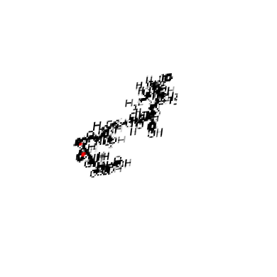 CCCC(=O)OCN(C(=O)[C@@H](NC[C@H]1CCCCN1C)C(C)CC)[C@H](C[C@@H](O)c1nc(C(=O)N[C@@H](Cc2ccc(O)cc2)C[C@H](C)C(=O)NNC(=O)OCCSSC[C@H](C)NC(=O)[C@H](CC(=O)O)CC(=O)[C@@H](N)CNC(=O)[C@@H](CC(=O)[C@H](Cc2ccccc2)NC(=O)CCNC(=O)CC[C@H](NC(=O)N[C@@H](CCC(=O)O)C(=O)O)C(=O)O)Cc2ccccc2)cs1)C(C)C